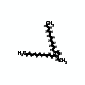 CCCCCCCCCCCCc1n(CC)cc[n+]1CCCCCCCCCCCC